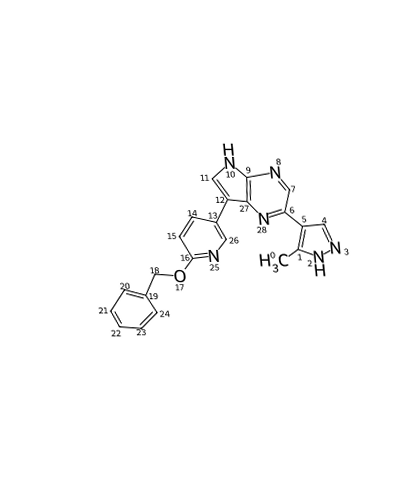 Cc1[nH]ncc1-c1cnc2[nH]cc(-c3ccc(OCc4ccccc4)nc3)c2n1